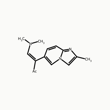 CC(=O)/C(=C/N(C)C)c1ccc2nc(C)cn2c1